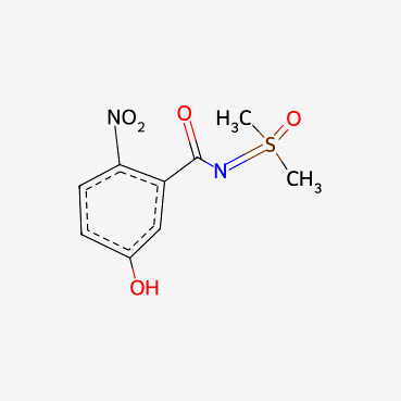 CS(C)(=O)=NC(=O)c1cc(O)ccc1[N+](=O)[O-]